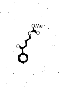 COC(=O)OC[CH]CC(=O)c1ccccc1